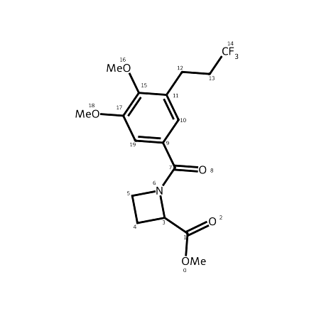 COC(=O)C1CCN1C(=O)c1cc(CCC(F)(F)F)c(OC)c(OC)c1